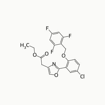 CCOC(=O)Cc1coc(-c2cc(Cl)ccc2OCc2c(F)cc(F)cc2F)n1